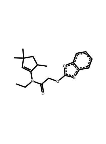 CCN(C(=O)COc1nc2ccccc2o1)C1=CC(C)(C)CC1C